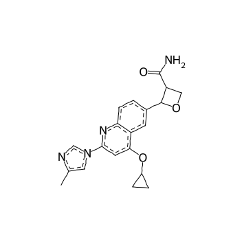 Cc1cn(-c2cc(OC3CC3)c3cc(C4OCC4C(N)=O)ccc3n2)cn1